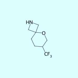 FC(F)(F)C1CCC2(CNC2)OC1